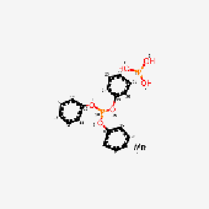 OP(O)O.[Mn].c1ccc(OP(Oc2ccccc2)Oc2ccccc2)cc1